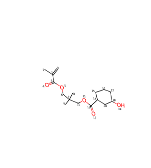 C=C(C)C(=O)OCC(C)(C)COC(=O)C1CCCC(O)C1